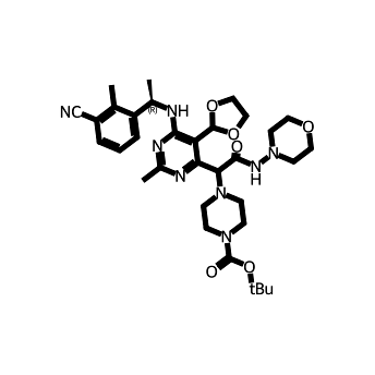 Cc1nc(N[C@H](C)c2cccc(C#N)c2C)c(C2OCCO2)c(C(C(=O)NN2CCOCC2)N2CCN(C(=O)OC(C)(C)C)CC2)n1